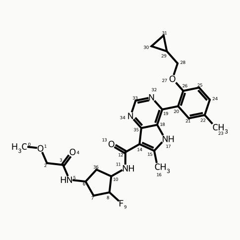 COCC(=O)NC1CC(F)C(NC(=O)c2c(C)[nH]c3c(-c4cc(C)ccc4OCC4CC4)ncnc23)C1